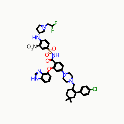 CC1(C)CCC(CN2CCN(c3ccc(C(=O)NS(=O)(=O)c4ccc(N[C@@H]5CCN(CC(F)F)C5)c([N+](=O)[O-])c4)c(Oc4cccc5[nH]cnc45)c3)CC2)=C(c2ccc(Cl)cc2)C1